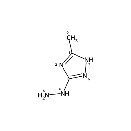 Cc1nc(NN)n[nH]1